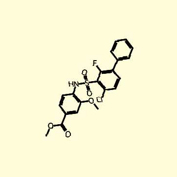 COC(=O)c1ccc(NS(=O)(=O)c2c(Cl)ccc(-c3ccccc3)c2F)c(OC)c1